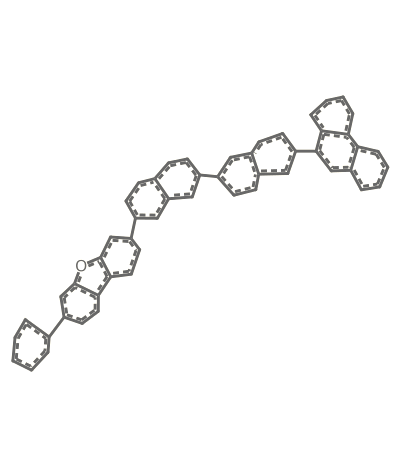 c1ccc(-c2ccc3c(c2)oc2cc(-c4ccc5ccc(-c6ccc7cc(-c8cc9ccccc9c9ccccc89)ccc7c6)cc5c4)ccc23)cc1